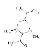 CC(=O)N1[C@@H](C)CN(C(C)C)C[C@@H]1C